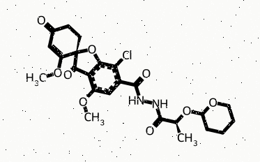 COC1=CC(=O)CC[C@]12Oc1c(Cl)c(C(=O)NNC(=O)[C@H](C)OC3CCCCO3)cc(OC)c1C2=O